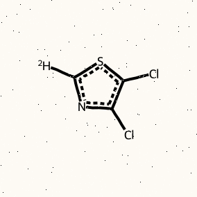 [2H]c1nc(Cl)c(Cl)s1